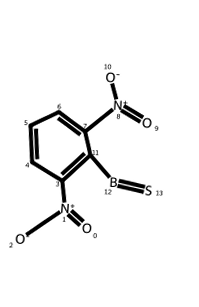 O=[N+]([O-])c1cccc([N+](=O)[O-])c1B=S